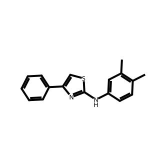 Cc1ccc(Nc2nc(-c3ccccc3)cs2)cc1C